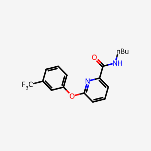 CCCCNC(=O)c1cccc(Oc2cccc(C(F)(F)F)c2)n1